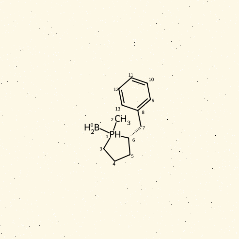 B[PH]1(C)CCC[C@H]1Cc1ccccc1